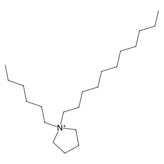 CCCCCCCCCCC[N+]1(CCCCCC)CCCC1